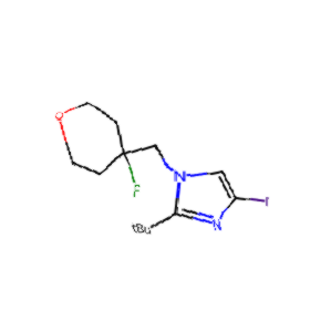 CC(C)(C)c1nc(I)cn1CC1(F)CCOCC1